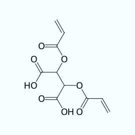 C=CC(=O)OC(C(=O)O)C(OC(=O)C=C)C(=O)O